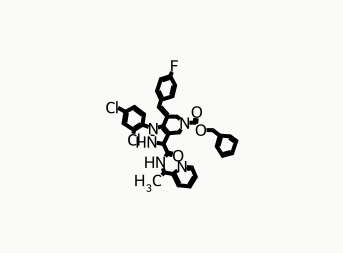 CC(NC(=O)C1NN(c2ccc(Cl)cc2Cl)C2=C1CN(C(=O)OCc1ccccc1)C/C2=C\c1ccc(F)cc1)c1ccccn1